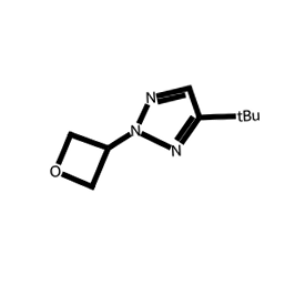 CC(C)(C)c1cnn(C2COC2)n1